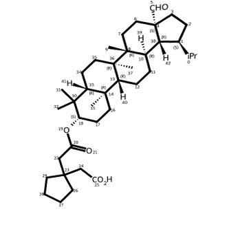 CC(C)[C@@H]1CC[C@]2(C=O)CC[C@]3(C)[C@H](CC[C@@H]4[C@@]5(C)CC[C@H](OC(=O)CC6(CC(=O)O)CCCC6)C(C)(C)[C@@H]5CC[C@]43C)[C@@H]12